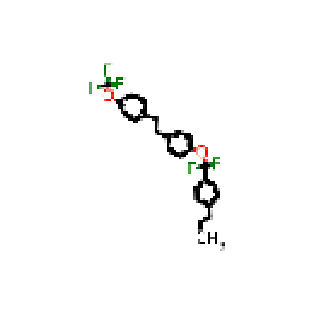 CCCc1ccc(C(F)(F)Oc2ccc(CCc3ccc(OC(F)(F)F)cc3)cc2)cc1